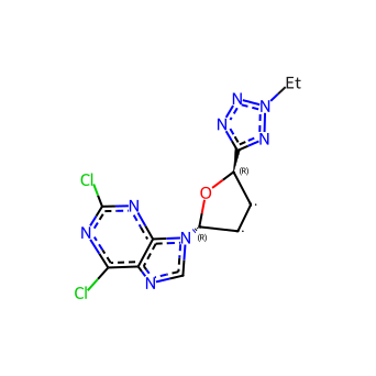 CCn1nnc([C@H]2[CH][CH][C@H](n3cnc4c(Cl)nc(Cl)nc43)O2)n1